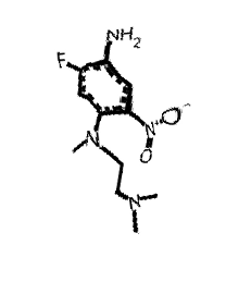 CN(C)CCN(C)c1cc(F)c(N)cc1[N+](=O)[O-]